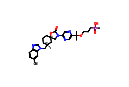 CC(C)(OCCCP(C)(=O)O)c1cnc(N2C[C@@]3(CCC[C@](C)(Cn4cnc5ccc(C#N)cc54)C3)OC2=O)cn1